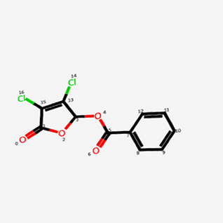 O=C1OC(OC(=O)c2ccccc2)C(Cl)=C1Cl